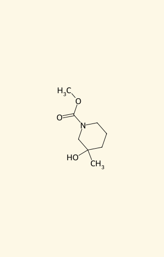 COC(=O)N1CCCC(C)(O)C1